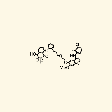 COc1cc2ncnc(Nc3cccc(Cl)c3F)c2cc1OCCOCCCc1ccccc1Oc1cccc2c1C(=O)NC(=O)C2O